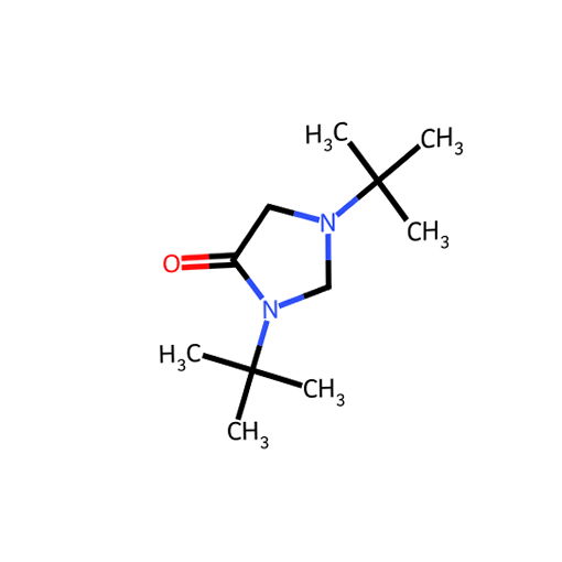 CC(C)(C)N1CC(=O)N(C(C)(C)C)C1